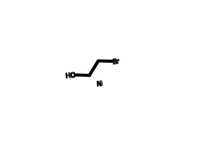 OCCBr.[N]